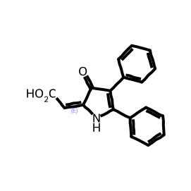 O=C(O)/C=C1/NC(c2ccccc2)=C(c2ccccc2)C1=O